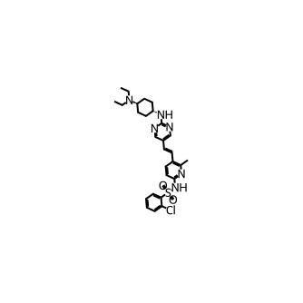 CCN(CC)[C@H]1CC[C@H](Nc2ncc(/C=C/c3ccc(NS(=O)(=O)c4ccccc4Cl)nc3C)cn2)CC1